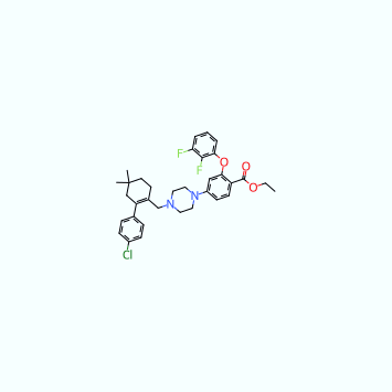 CCOC(=O)c1ccc(N2CCN(CC3=C(c4ccc(Cl)cc4)CC(C)(C)CC3)CC2)cc1Oc1cccc(F)c1F